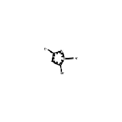 CC(C)n1nc(Br)cc1Br